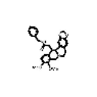 COc1ccc2c(c1OC)CN1CCc3cc4c(cc3C1C2CC(=O)NCc1ccccc1)OCO4